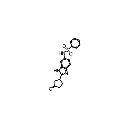 O=C1CCC(c2nc3ccc(NS(=O)(=O)c4ccccc4)cc3[nH]2)C1